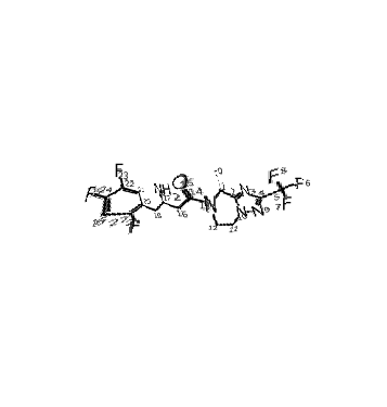 C[C@@H]1c2nc(C(F)(F)F)nn2CCN1C(=O)C[C@H](N)Cc1cc(F)c(F)cc1F